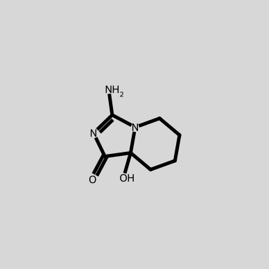 NC1=NC(=O)C2(O)CCCCN12